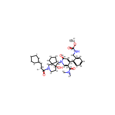 C[C@H](CC1CCCCC1)C(=O)N1CCC(O)(Cn2cc(C(=O)N(C)C)c(-c3ccccc3CNC(=O)OC(C)(C)C)cc2=O)C2(CCCC2)C1